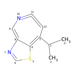 CC(C)C1=c2scnc2=CN=C=C1